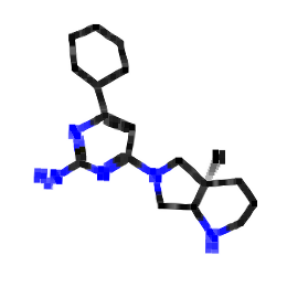 Nc1nc(C2CCCCC2)cc(N2CC3NCCC[C@@H]3C2)n1